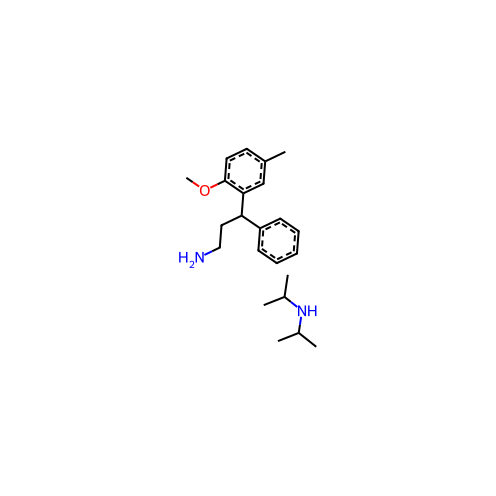 CC(C)NC(C)C.COc1ccc(C)cc1C(CCN)c1ccccc1